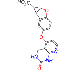 O=C1NCc2c(Oc3ccc4c(c3)C3C(O4)C3C(=O)O)ccnc2N1